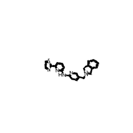 c1cc(Nc2ccc(CN3Cc4ccccc4C3)cn2)nc(-c2nccs2)c1